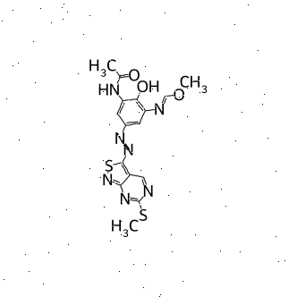 CO/C=N/c1cc(/N=N/c2snc3nc(SC)ncc23)cc(NC(C)=O)c1O